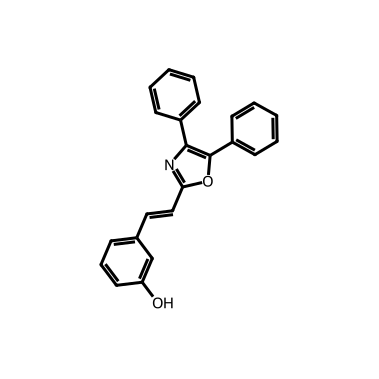 Oc1cccc(C=Cc2nc(-c3ccccc3)c(-c3ccccc3)o2)c1